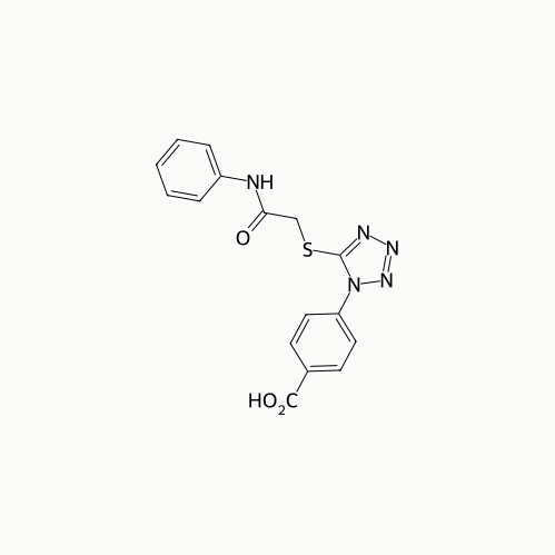 O=C(CSc1nnnn1-c1ccc(C(=O)O)cc1)Nc1ccccc1